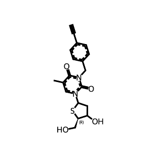 C#Cc1ccc(Cn2c(=O)c(C)cn(C3CC(O)[C@@H](CO)S3)c2=O)cc1